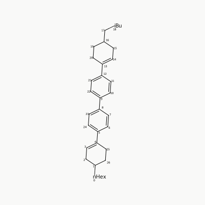 CCCCCCC1CC=C(c2ccc(-c3ccc(C4=CCC(CC(C)CC)CC4)cc3)cc2)CC1